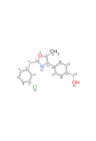 Cc1oc(Cc2cccc(Cl)c2)nc1-c1ccc(CO)cc1